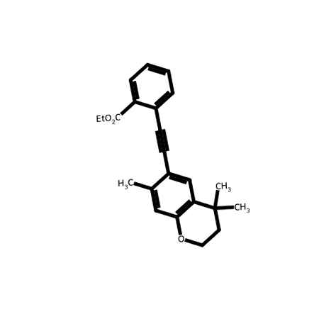 CCOC(=O)c1ccccc1C#Cc1cc2c(cc1C)OCCC2(C)C